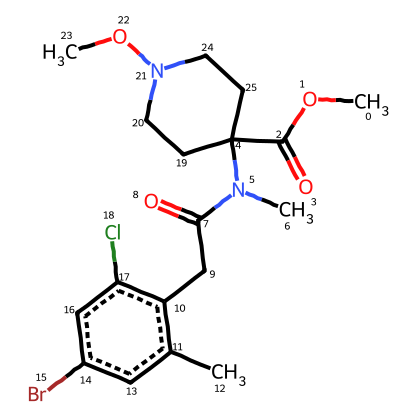 COC(=O)C1(N(C)C(=O)Cc2c(C)cc(Br)cc2Cl)CCN(OC)CC1